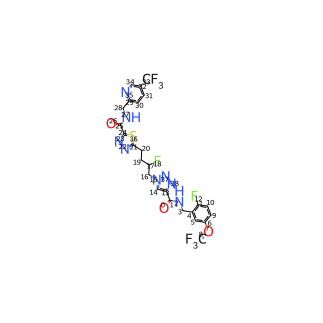 O=C(NCc1cc(OC(F)(F)F)ccc1F)c1cn(CC(F)CCc2nnc(C(=O)NCc3ccc(C(F)(F)F)cn3)s2)nn1